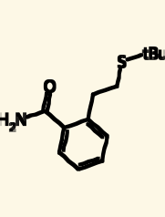 CC(C)(C)SCCc1ccccc1C(N)=O